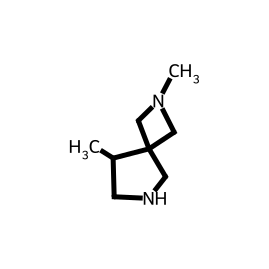 CC1CNCC12CN(C)C2